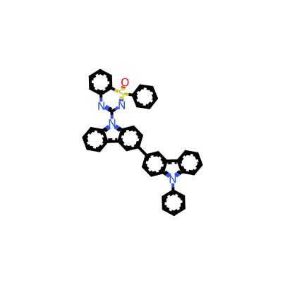 O=S1(c2ccccc2)=NC(n2c3ccccc3c3cc(-c4ccc5c(c4)c4ccccc4n5-c4ccccc4)ccc32)=Nc2ccccc21